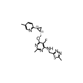 Cc1ccc([C@H]2C[C@@H]2COc2nc(C)nc(NCc3nnc(C)s3)c2F)nc1